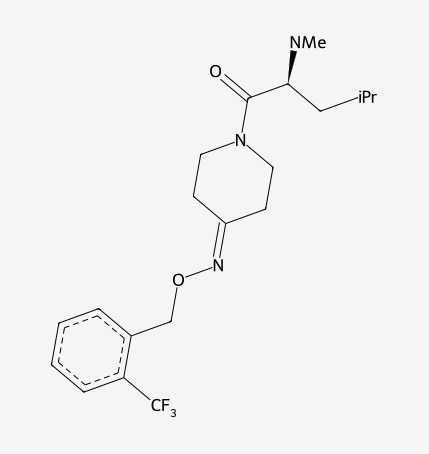 CN[C@@H](CC(C)C)C(=O)N1CCC(=NOCc2ccccc2C(F)(F)F)CC1